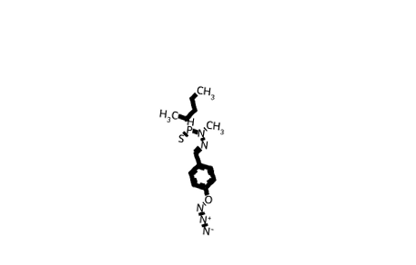 CCCC(C)[PH](=S)N(C)/N=C/c1ccc(ON=[N+]=[N-])cc1